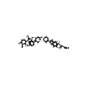 Cn1c(=O)n(C2CCC(=O)NC2=O)c2cccc(C3CCN(C[C@H]4CC[C@H](n5cc6cc(NC(=O)OC(C)(C)C)c(F)cc6n5)CC4)CC3)c21